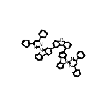 c1ccc(-c2cc(-c3ccccc3)nc(-n3c4ccccc4c4ccc(-c5ccc6oc7cccc(-c8ccc9c%10ccccc%10n(-c%10nc(-c%11ccccc%11)cc(-c%11ccccc%11)n%10)c9c8)c7c6c5)cc43)n2)cc1